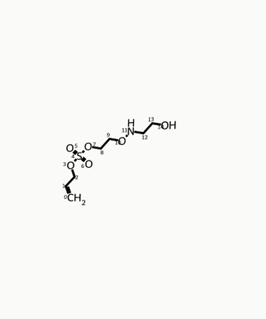 C=CCOS(=O)(=O)OCCONCCO